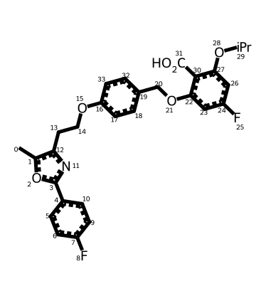 Cc1oc(-c2ccc(F)cc2)nc1CCOc1ccc(COc2cc(F)cc(OC(C)C)c2C(=O)O)cc1